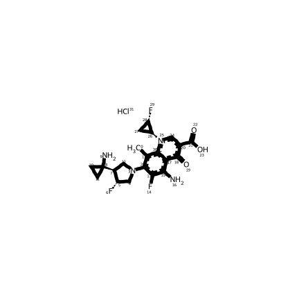 Cc1c(N2C[C@H](F)[C@@H](C3(N)CC3)C2)c(F)c(N)c2c(=O)c(C(=O)O)cn([C@@H]3C[C@@H]3F)c12.Cl